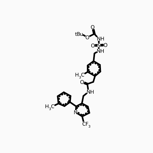 Cc1cccc(-c2nc(C(F)(F)F)ccc2CNC(=O)Cc2ccc(CNS(=O)(=O)NC(=O)OC(C)(C)C)cc2C)c1